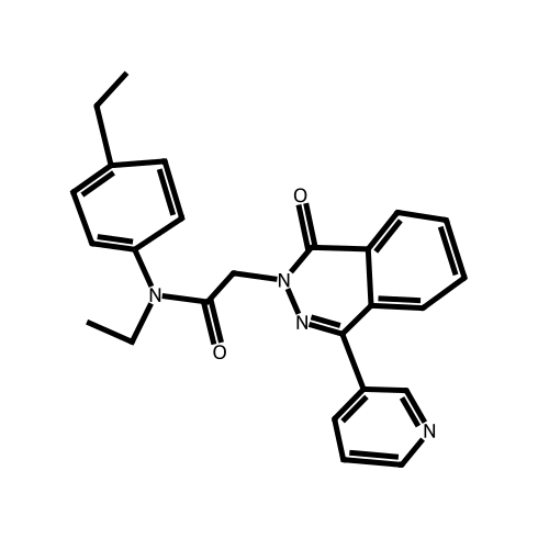 CCc1ccc(N(CC)C(=O)Cn2nc(-c3cccnc3)c3ccccc3c2=O)cc1